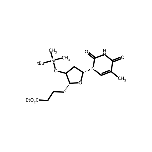 CCOC(=O)CCC[C@H]1O[C@@H](n2cc(C)c(=O)[nH]c2=O)CC1O[Si](C)(C)C(C)(C)C